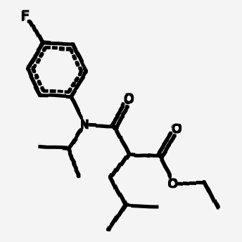 CCOC(=O)C(CC(C)C)C(=O)N(c1ccc(F)cc1)C(C)C